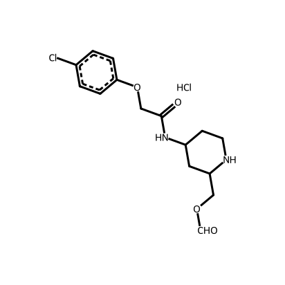 Cl.O=COCC1CC(NC(=O)COc2ccc(Cl)cc2)CCN1